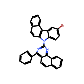 Brc1ccc2c(c1)c1c3ccccc3ccc1n2-c1nc(-c2ccccc2)c2ccc3ccccc3c2n1